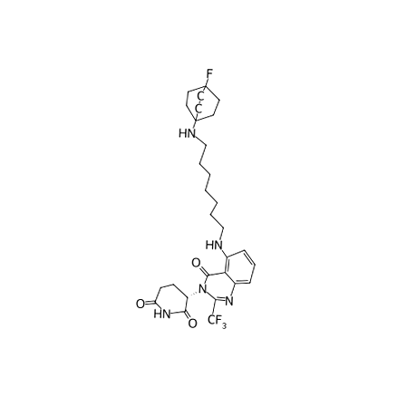 O=C1CC[C@H](n2c(C(F)(F)F)nc3cccc(NCCCCCCCNC45CCC(F)(CC4)CC5)c3c2=O)C(=O)N1